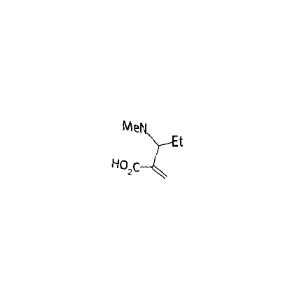 C=C(C(=O)O)C(CC)NC